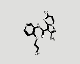 Nc1nn2ccc(C(F)(F)F)nc2c1C(=O)Nc1cnccc1OCCO